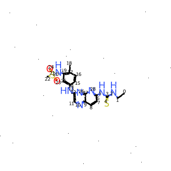 CCNC(=S)Nc1ccc2ncc(Nc3ccc(C)c(NS(C)(=O)=O)c3)nc2n1